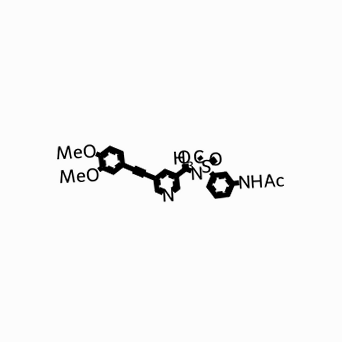 COc1ccc(C#Cc2cncc(C(=O)N=S(C)(=O)c3cccc(NC(C)=O)c3)c2)cc1OC